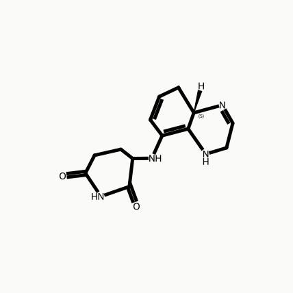 O=C1CCC(NC2=C3NCC=N[C@H]3CC=C2)C(=O)N1